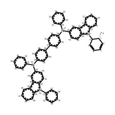 C[C@@H]1C=CC=CC1n1c2ccccc2c2cc(N(c3ccccc3)c3ccc(-c4ccc(N(c5ccccc5)c5ccc6c(c5)c5ccccc5n6-c5ccccc5)cc4)cc3)ccc21